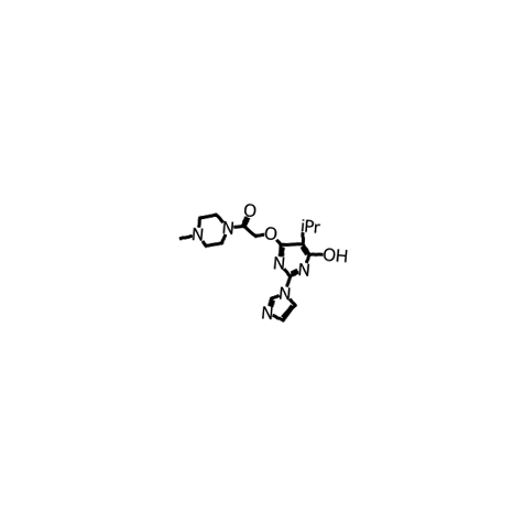 CC(C)c1c(O)nc(-n2ccnc2)nc1OCC(=O)N1CCN(C)CC1